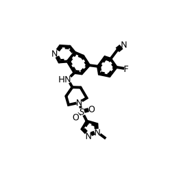 Cn1cc(S(=O)(=O)N2CCC(Nc3cc(-c4ccc(F)c(C#N)c4)cc4ccncc34)CC2)cn1